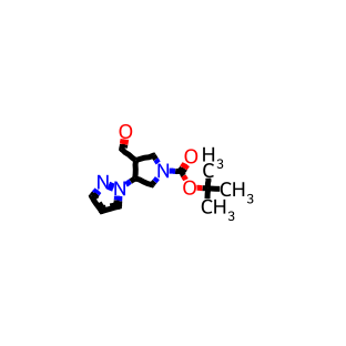 CC(C)(C)OC(=O)N1CC(C=O)C(n2cccn2)C1